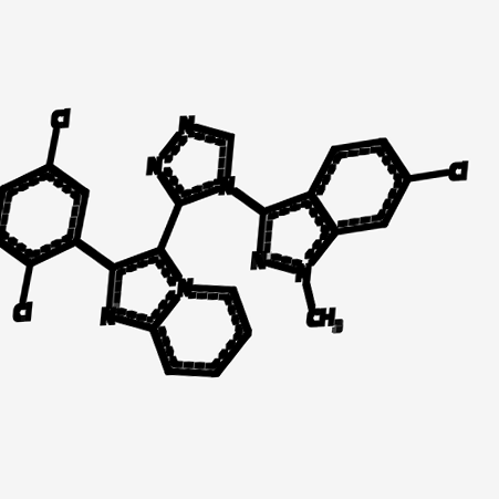 Cn1nc(-n2cnnc2-c2c(-c3cc(Cl)ccc3Cl)nc3ccccn23)c2ccc(Cl)cc21